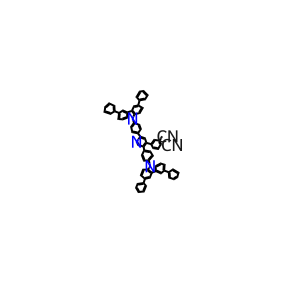 N#Cc1ccc(-c2cc(-c3ccc(-n4c5ccc(-c6ccccc6)cc5c5cc(-c6ccccc6)ccc54)cc3)ncc2-c2ccc(-n3c4ccc(-c5ccccc5)cc4c4cc(-c5ccccc5)ccc43)cc2)cc1C#N